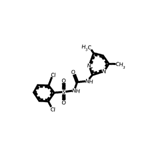 Cc1cc(C)nc(NC(=O)NS(=O)(=O)c2c(Cl)cccc2Cl)n1